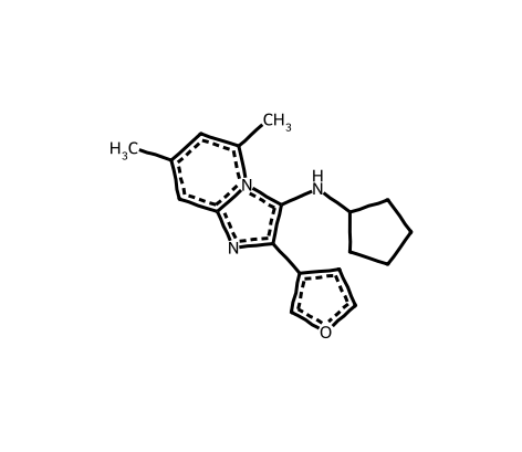 Cc1cc(C)n2c(NC3CCCC3)c(-c3ccoc3)nc2c1